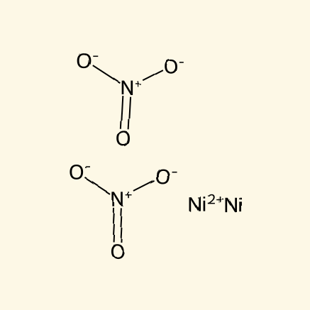 O=[N+]([O-])[O-].O=[N+]([O-])[O-].[Ni+2].[Ni]